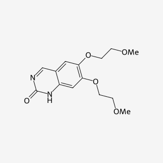 COCCOc1cc2cnc(=O)[nH]c2cc1OCCOC